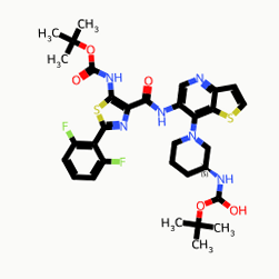 CC(C)(C)OC(=O)Nc1sc(-c2c(F)cccc2F)nc1C(=O)Nc1cnc2ccsc2c1N1CCC[C@H](NC(O)OC(C)(C)C)C1